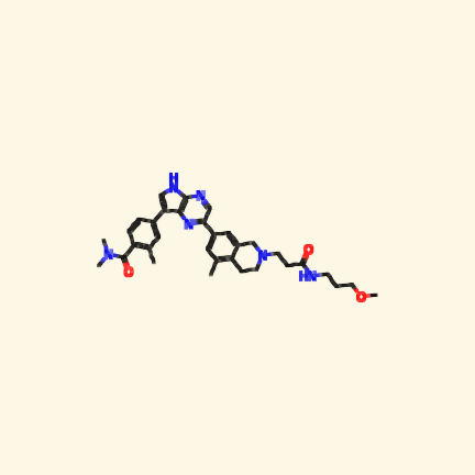 COCCCNC(=O)CCN1CCc2c(C)cc(-c3cnc4[nH]cc(-c5ccc(C(=O)N(C)C)c(C)c5)c4n3)cc2C1